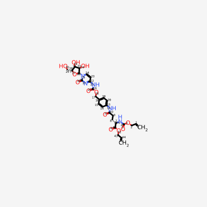 C=CCOC(=O)N[C@@H](CCC(=O)Nc1ccc(COC(=O)Nc2ccn([C@@H]3O[C@H](CO)C(O)C3O)c(=O)n2)cc1)C(=O)OCC=C